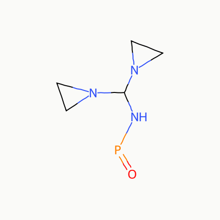 O=PNC(N1CC1)N1CC1